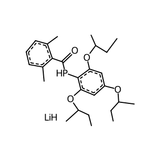 CCC(C)Oc1cc(OC(C)CC)c(PC(=O)c2c(C)cccc2C)c(OC(C)CC)c1.[LiH]